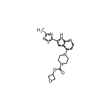 Cc1nsc(-c2cc3c(N4CCN(C(=O)OC5COC5)CC4)ccnc3[nH]2)n1